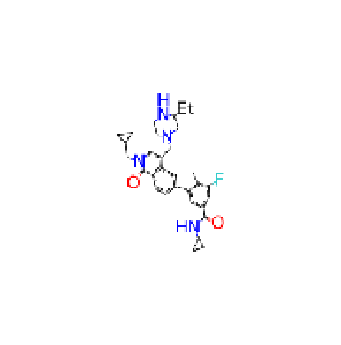 CCC1CN(Cc2cn(CC3CC3)c(=O)c3ccc(-c4cc(C(=O)NC5CC5)cc(F)c4C)cc23)CCN1